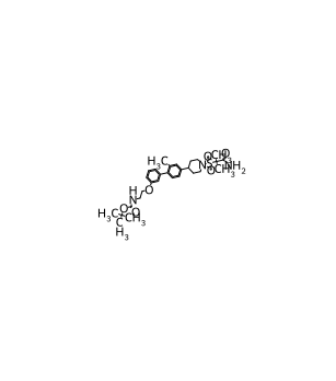 Cc1cc(C2CCN(S(=O)(=O)C(C)(C)C(N)=O)CC2)ccc1-c1cccc(OCCNC(=O)OC(C)(C)C)c1